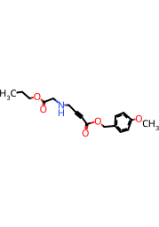 CCCOC(=O)CNCC#CC(=O)OCc1ccc(OC)cc1